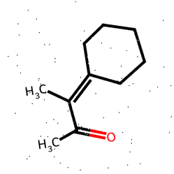 CC(=O)C(C)=C1CCCCC1